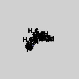 CCSC1C(c2nc(/C=C/C(F)(F)C(F)(F)F)c(C)n2C)N=C(c2ccc(Cl)cc2)N1C